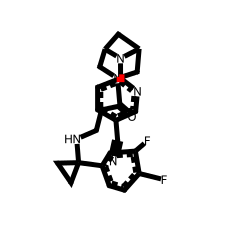 N#Cc1ccc(N2C3CC2CN(C(=O)CCNC2(c4ccc(F)c(F)c4)CC2)C3)nc1